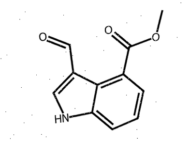 COC(=O)c1cccc2[nH]cc(C=O)c12